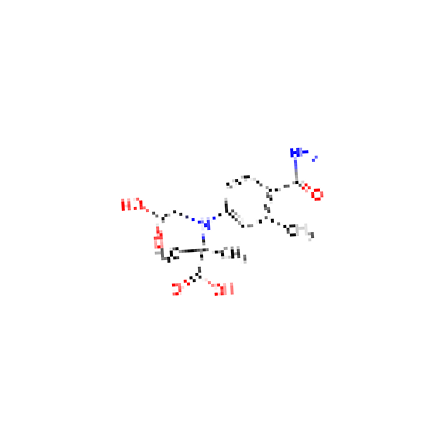 Cc1cc(N(CC(=O)O)C(C)(C)C(=O)O)ccc1C(N)=O